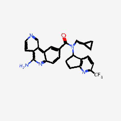 Nc1nc2ccc(C(=O)N(CC3CC3)C3CCc4nc(C(F)(F)F)ccc43)cc2c2cnccc12